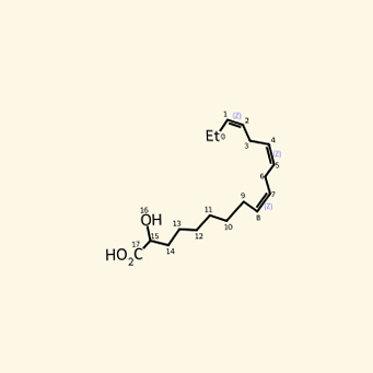 CC/C=C\C/C=C\C/C=C\CCCCCCC(O)C(=O)O